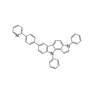 c1ccc(-n2ccc3c2ccc2c4cc(-c5ccc(-c6ccccn6)cc5)ccc4n(-c4ccccc4)c23)cc1